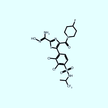 CC(NS(=O)(=O)c1ccc(-c2sc(C(N)=NO)nc2C(=O)N2CCC(F)CC2)c(Cl)c1Cl)C(F)(F)F